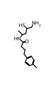 Cc1ccc(CCCC(=O)NC(C)CC(S)CN)cc1